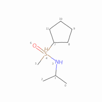 CC(C)N[SH](C)(=O)C1CCCC1